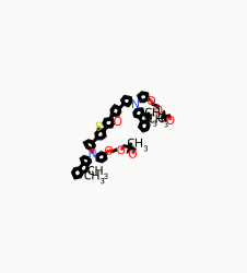 CC1(COCCOc2cccc(N(c3cccc(-c4ccc5c(c4)oc4cc6c(cc45)sc4cc(-c5cccc(N(c7cccc(OCCOCC8(C)COC8)c7)c7ccc8c(c7)C(C)(C)c7ccccc7-8)c5)ccc46)c3)c3ccc4c(c3)C(C)(C)c3ccccc3-4)c2)COC1